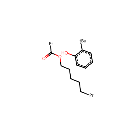 CC(C)(C)c1ccccc1O.CCC(=O)OCCCCCC(C)C